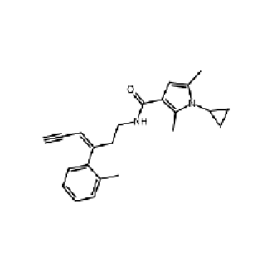 C#C/C=C(/CCNC(=O)c1cc(C)n(C2CC2)c1C)c1ccccc1C